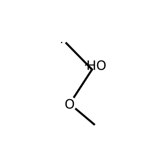 [CH2]COC.[OH]